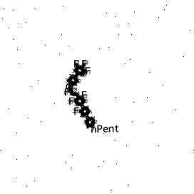 CCCCCc1ccc(-c2ccc(-c3cc(F)c(/C=C/C(F)(F)Oc4ccc(-c5cc(F)c(F)c(F)c5)cc4)c(F)c3)c(F)c2)cc1